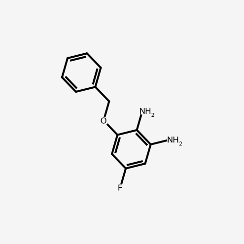 Nc1cc(F)cc(OCc2ccccc2)c1N